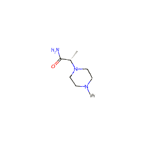 CC(C)N1CCN([C@@H](C)C(N)=O)CC1